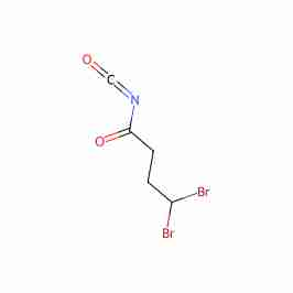 O=C=NC(=O)CCC(Br)Br